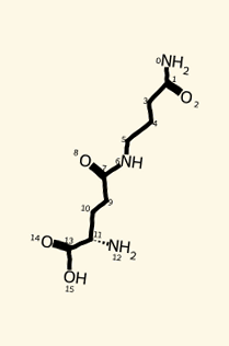 NC(=O)CCCNC(=O)CC[C@H](N)C(=O)O